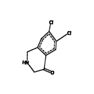 O=C1CNCc2cc(Cl)c(Cl)cc21